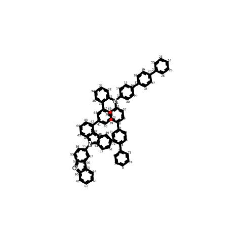 c1ccc(-c2ccc(-c3ccc(N(c4ccc(-c5ccc(-c6ccccc6)cc5)cc4)c4ccccc4-c4cccc(-c5cccc6c5c5ccccc5n6-c5ccc6oc7ccccc7c6c5)c4)cc3)cc2)cc1